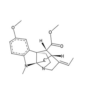 C/C=C1/CN2CC[C@@]34c5cc(OC)ccc5N(C)[C@@]23CC[C@@H]1[C@H]4C(=O)OC